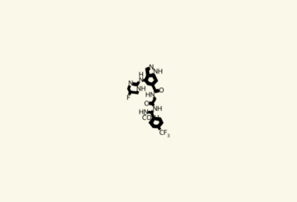 O=C(O)NC(NC(=O)CNC(=O)c1cc(NC2=NCC(F)CN2)c2cn[nH]c2c1)c1ccc(C(F)(F)F)cc1